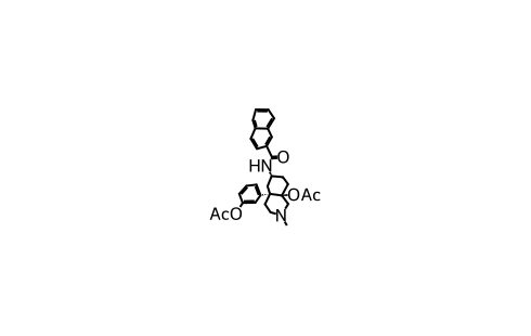 CC(=O)Oc1cccc([C@@]23CCN(C)C[C@@]2(OC(C)=O)CC[C@H](NC(=O)c2ccc4ccccc4c2)C3)c1